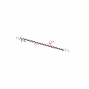 CCCCCCCCCCC(CCCCCCCC=CC[C@H](O)CCCCCCCCCN(C)C)OC(=O)O